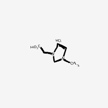 CN1C=CN(CC(=O)O)C1.Cl